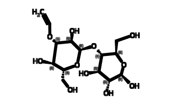 C=CO[C@@H]1[C@@H](O)[C@@H](O[C@H]2[C@H](O)[C@@H](O)[C@H](O)O[C@@H]2CO)O[C@H](CO)[C@H]1O